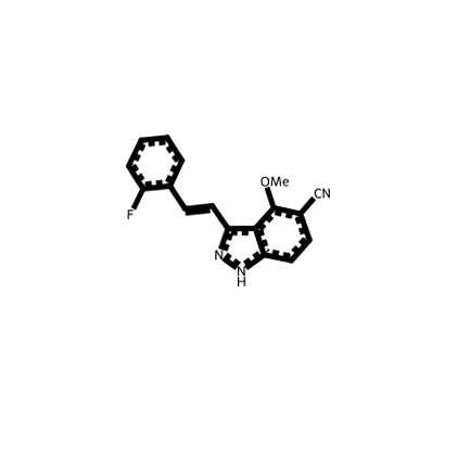 COc1c(C#N)ccc2[nH]nc(C=Cc3ccccc3F)c12